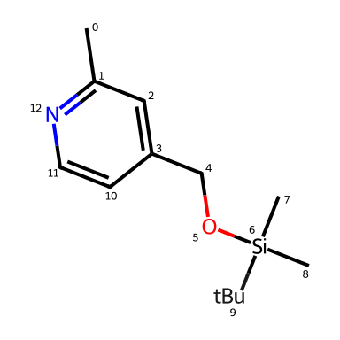 Cc1cc(CO[Si](C)(C)C(C)(C)C)ccn1